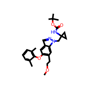 COCCc1cc2c(cnn2CC2(NC(=O)OC(C)(C)C)CC2)cc1Oc1c(C)cccc1C